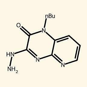 CCCCn1c(=O)c(NN)nc2ncccc21